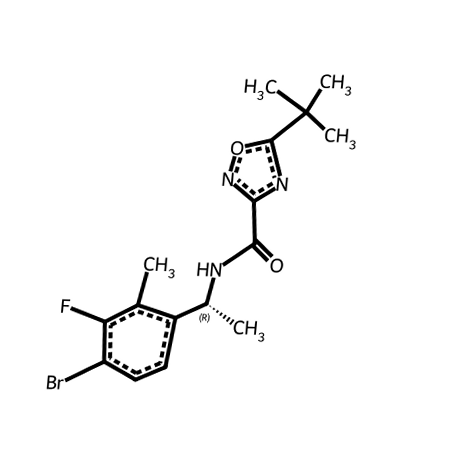 Cc1c([C@@H](C)NC(=O)c2noc(C(C)(C)C)n2)ccc(Br)c1F